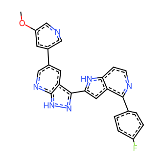 COc1cncc(-c2cnc3[nH]nc(-c4cc5c(-c6ccc(F)cc6)nccc5[nH]4)c3c2)c1